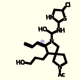 C=C/C=C1\C(CCCO)C2(CCN(C(C)=O)C2)CN1C(O)NC1NCC(Cl)S1